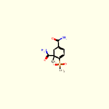 CC1(C(N)=O)CC(C(N)=O)=CC=C1S(C)(=O)=O